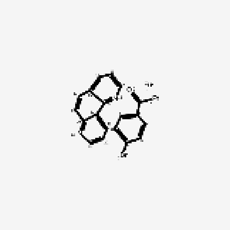 CCC(=O)c1ccc(Br)cc1.[Eu].c1cnc2c(c1)ccc1ncccc12